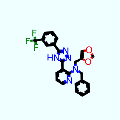 FC(F)(F)c1cccc(-c2nnc(-c3cccnc3N(CC3=COCO3)Cc3ccccc3)[nH]2)c1